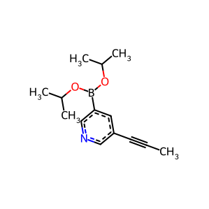 CC#Cc1cncc(B(OC(C)C)OC(C)C)c1